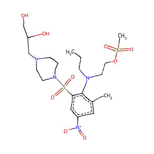 CCCN(CCOS(C)(=O)=O)c1c(C)cc([N+](=O)[O-])cc1S(=O)(=O)N1CCN(CC(O)CO)CC1